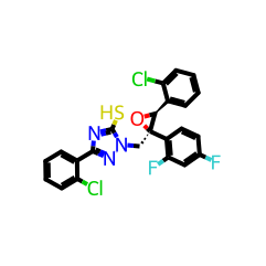 Fc1ccc([C@@]2(Cn3nc(-c4ccccc4Cl)nc3S)O[C@H]2c2ccccc2Cl)c(F)c1